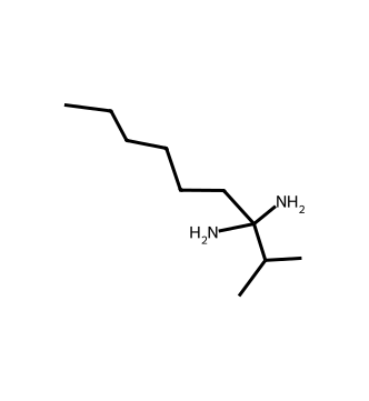 CCCCCCC(N)(N)C(C)C